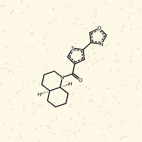 O=C(c1csc(-c2cocn2)c1)N1CCC[C@@H]2CCCC[C@@H]21